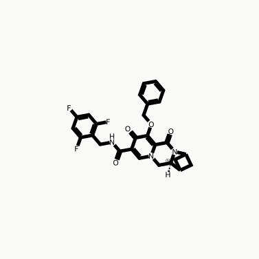 O=C(NCc1c(F)cc(F)cc1F)c1cn2c(c(OCc3ccccc3)c1=O)C(=O)N1C3CC(C3)[C@H]1C2